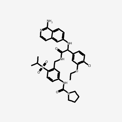 CCOc1cc(C(Nc2ccc3c(N)nccc3c2)C(=O)NCc2cc(NC(=O)N3CCCC3)ccc2S(=O)(=O)C(C)C)ccc1Cl